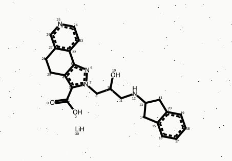 O=C(O)c1c2c(nn1CC(O)CNC1Cc3ccccc3C1)-c1ccncc1CC2.[LiH]